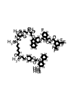 Cc1nc(N(C)CCCCCC(=O)N(C)CCN2CCC(OC(=O)Nc3ccccc3-c3ccccc3)CC2)sc1C(=O)N(C)CCN(C)C(=O)CO[C@H]1Cc2ccccc2C12CCN(CC[C@]1(c3ccc(F)cc3)CN(C(=O)c3cc(C(F)(F)F)cc(C(F)(F)F)c3)CO1)CC2.Cl.Cl.Cl